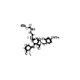 COc1ccc(CN2Cc3nc(NCCNC(=O)OC(C)(C)C)nc(Nc4cccc(C)c4)c3C2=O)c(OC)c1